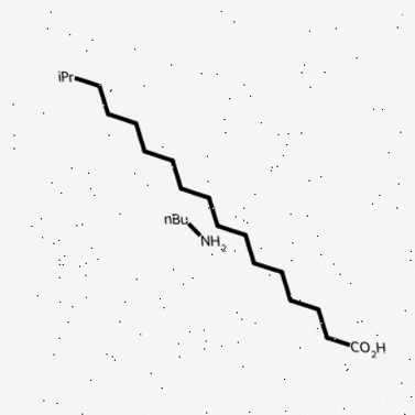 CC(C)CCCCCCCCCCCCCCC(=O)O.CCCCN